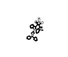 Cn1cc(C2=C(c3cn(C4CN(C(c5ccccc5)c5ccccc5)C4)c4ccccc34)C(=O)NC2=O)c2ccccc21